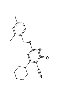 Cc1ccc(CSc2nc(C3CCCCC3)c(C#N)c(=O)[nH]2)c(C)c1